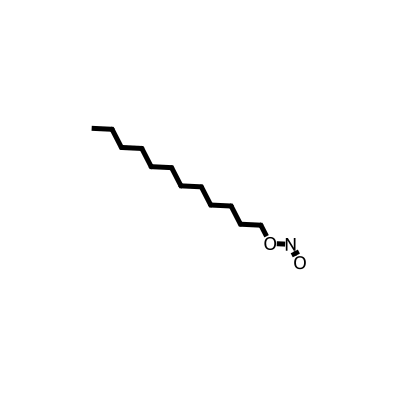 CCCCCCCCCCCCON=O